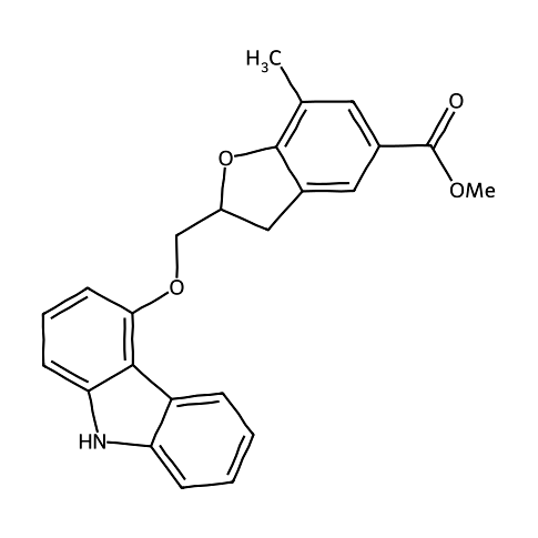 COC(=O)c1cc(C)c2c(c1)CC(COc1cccc3[nH]c4ccccc4c13)O2